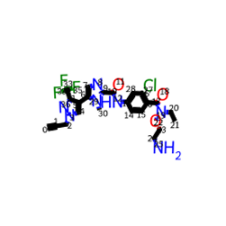 C#CCn1cc(-c2cnc(C(=O)Nc3ccc(C(=O)N(CC)OCCN)c(Cl)c3)n2C)c(C(F)(F)F)n1